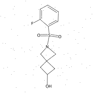 O=S(=O)(c1ccccc1F)N1CC2(CC(O)C2)C1